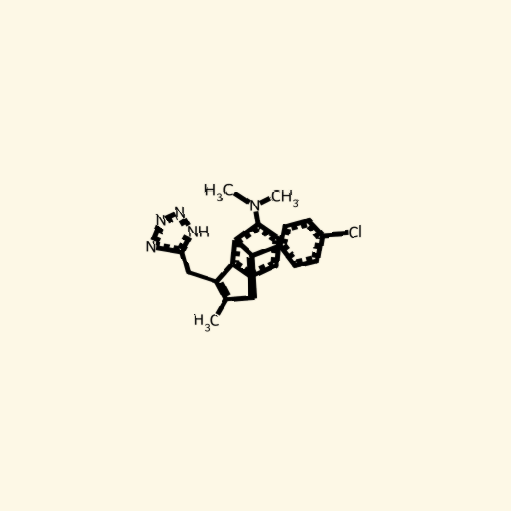 CC1=C(Cc2nnn[nH]2)c2c3ccc(N(C)C)c2C(c2ccc(Cl)cc2)=C13